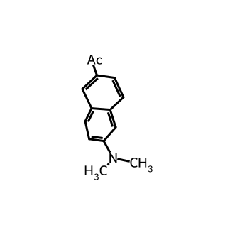 CC(=O)c1ccc2cc(N(C)C)ccc2c1